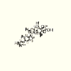 CC(CO)(NC(=O)N1CCc2cc(-c3cn[nH]c3)c(F)cc21)c1cc(F)cc(OCC(=O)O)c1